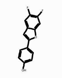 Oc1ccc(-c2cc3cc(F)c(F)cc3o2)cc1